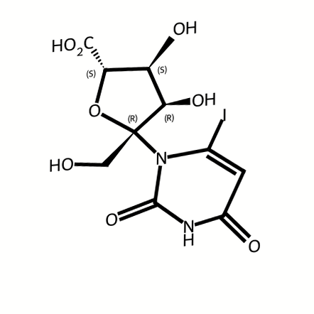 O=C(O)[C@H]1O[C@@](CO)(n2c(I)cc(=O)[nH]c2=O)[C@H](O)[C@@H]1O